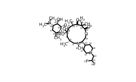 CO[C@]1(C)C[C@@H](C)CN(C)[C@H](C2CCN(CC(F)F)CC2)COC(=O)C(C)(C)C(=O)[C@H](C)[C@H]1O[C@@H]1O[C@H](C)C[C@H](N(C)C)[C@H]1O